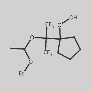 CCOC(C)OC(C(F)(F)F)(C(F)(F)F)C1(OO)CCCC1